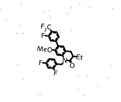 CCC1Cc2cc(-c3ccc(C(F)(F)F)c(F)c3)c(OC)cc2N(Cc2ccc(F)cc2F)C1=O